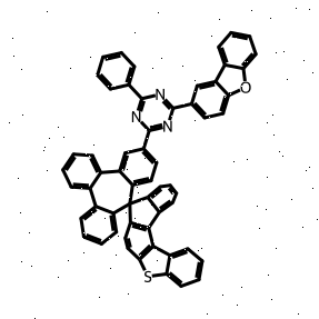 c1ccc(-c2nc(-c3ccc4c(c3)-c3ccccc3-c3ccccc3C43c4ccccc4-c4c3ccc3sc5ccccc5c43)nc(-c3ccc4oc5ccccc5c4c3)n2)cc1